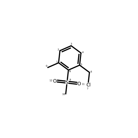 Cc1cccc(CCl)c1S(C)(=O)=O